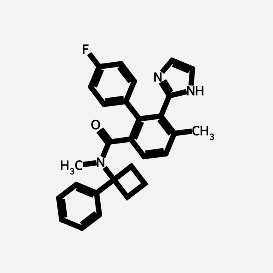 Cc1ccc(C(=O)N(C)C2(c3ccccc3)CCC2)c(-c2ccc(F)cc2)c1-c1ncc[nH]1